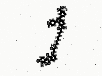 NC(=S)c1cccc(-c2cn(C3CCC(F)(F)CC3)c3cc(NC(=O)CCCCCCCNCC(=O)COc4cccc5c4C(=O)N(C4CCC(=O)NC4=O)C5=O)ccc23)c1